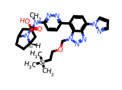 CN(c1ccc(-c2ccc(-n3cccn3)c3nnn(COCC[Si](C)(C)C)c23)nn1)C1CC2CC[C@@H](C1)N2C(=O)O